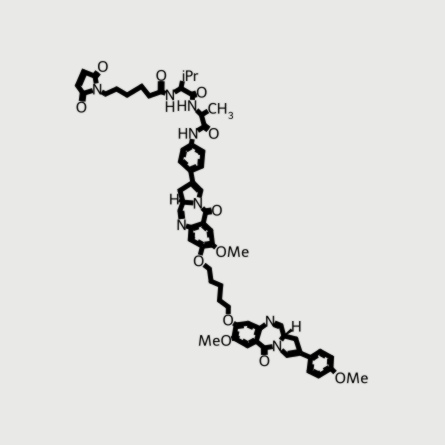 COc1ccc(C2=CN3C(=O)c4cc(OC)c(OCCCCCOc5cc6c(cc5OC)C(=O)N5C=C(c7ccc(NC(=O)C(C)NC(=O)C(NC(=O)CCCCCN8C(=O)C=CC8=O)C(C)C)cc7)C[C@H]5C=N6)cc4N=C[C@@H]3C2)cc1